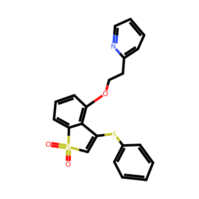 O=S1(=O)C=C(Sc2ccccc2)c2c(OCCc3ccccn3)cccc21